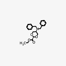 CCOC(=O)[C@H]1OC[C@@H](N(Cc2ccccc2)Cc2ccccc2)CO1